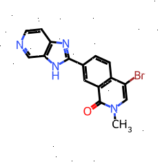 Cn1cc(Br)c2ccc(-c3nc4ccncc4[nH]3)cc2c1=O